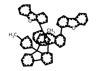 Cc1ccc(C2(c3ccc(C)cc3)c3ccccc3-c3cccc(-c4c5cccc(-c6cccc7c6oc6ccccc67)c5cc5c(-c6cccc7c6oc6ccccc67)cccc45)c32)cc1